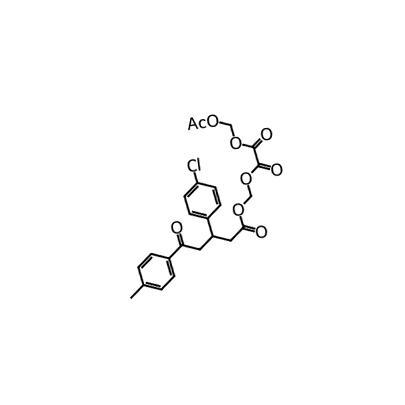 CC(=O)OCOC(=O)C(=O)OCOC(=O)CC(CC(=O)c1ccc(C)cc1)c1ccc(Cl)cc1